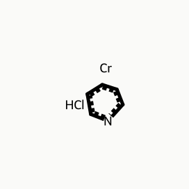 Cl.[Cr].c1ccncc1